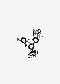 CCS(=O)(=O)Nc1ccc(Oc2ccc(F)cc2F)c(-c2ccc3c(c2)CN(C)C(=O)N3)c1